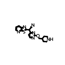 N#CC(c1ccnc(OCC2CCNCC2)n1)c1nc2cccnc2s1